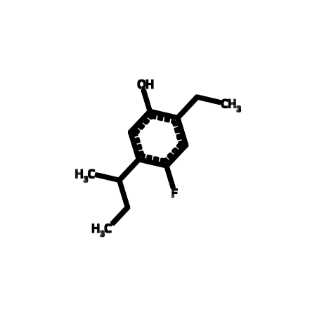 CCc1cc(F)c(C(C)CC)cc1O